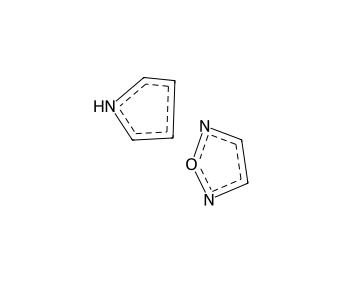 c1cc[nH]c1.c1cnon1